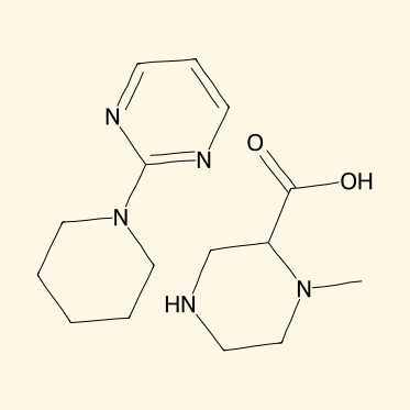 CN1CCNCC1C(=O)O.c1cnc(N2CCCCC2)nc1